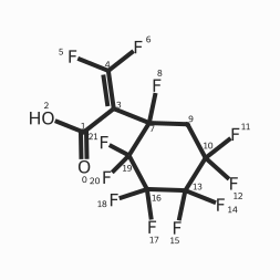 O=C(O)C(=C(F)F)C1(F)CC(F)(F)C(F)(F)C(F)(F)C1(F)F